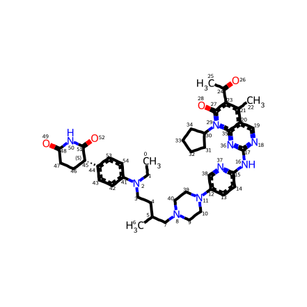 CCN(CCC(C)CN1CCN(c2ccc(Nc3ncc4c(C)c(C(C)=O)c(=O)n(C5CCCC5)c4n3)nc2)CC1)c1ccc([C@@H]2CCC(=O)NC2=O)cc1